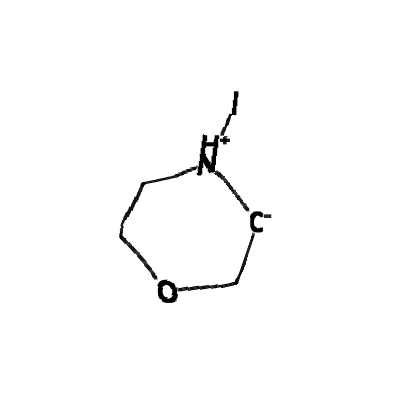 I[NH+]1[CH-]COCC1